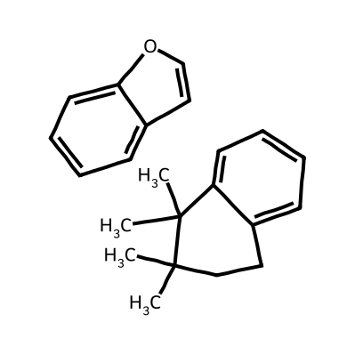 CC1(C)CCc2ccccc2C1(C)C.c1ccc2occc2c1